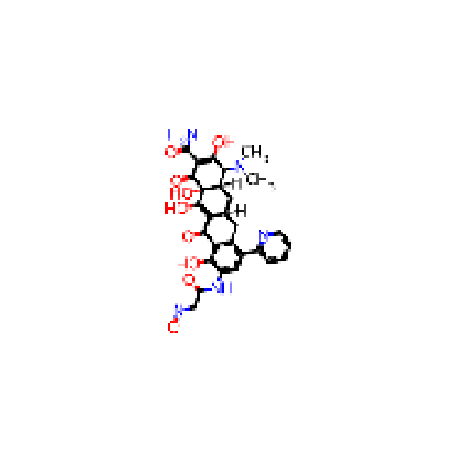 CN(C)[C@@H]1C(O)=C(C(N)=O)C(=O)[C@@]2(O)C(O)=C3C(=O)c4c(O)c(NC(=O)CN=O)cc(-c5ccccn5)c4C[C@H]3C[C@@H]12